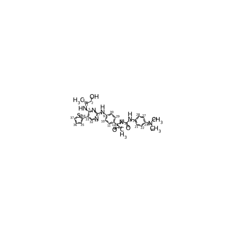 C[C@H](CO)Nc1nc(Nc2ccc(S(C)(=O)=NC(=O)Nc3ccc(N(C)C)cc3)cc2)ncc1-c1cccs1